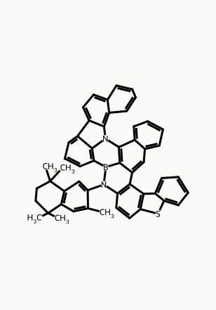 Cc1cc2c(cc1N1B3c4c(cc5ccccc5c4-n4c5c3cccc5c3ccc5ccccc5c34)-c3c1ccc1sc4ccccc4c31)C(C)(C)CCC2(C)C